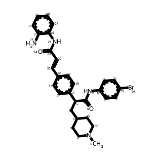 CN1CCC(CC(C(=O)Nc2ccc(Br)cc2)c2ccc(C=CC(=O)Nc3ccccc3N)cc2)CC1